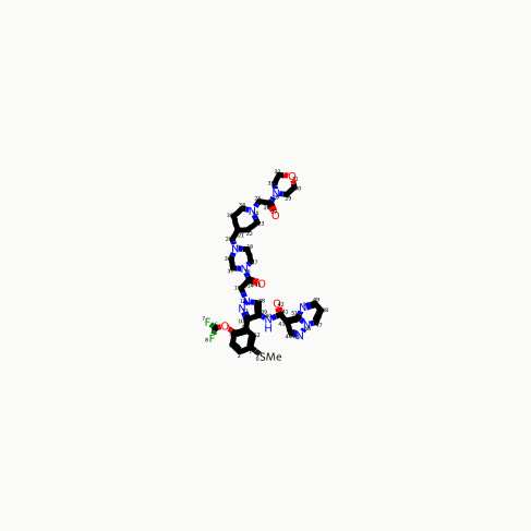 CSc1ccc(OC(F)F)c(-c2nn(CC(=O)N3CCN(CC4CCN(CC(=O)N5CCOCC5)CC4)CC3)cc2NC(=O)c2cnn3cccnc23)c1